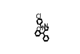 O=C(c1ccc(Cl)cc1)n1nccc1C(c1ccccc1)c1ccccc1